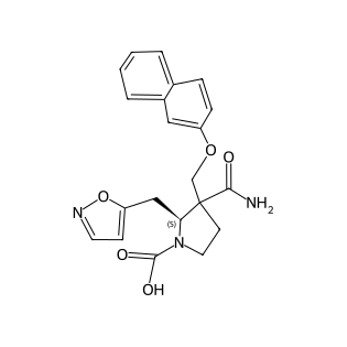 NC(=O)C1(COc2ccc3ccccc3c2)CCN(C(=O)O)[C@H]1Cc1ccno1